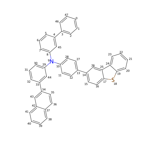 c1ccc(-c2cccc(N(c3ccc(-c4ccc5sc6ccccc6c5c4)cc3)c3cccc(-c4ccc5ccccc5c4)c3)c2)cc1